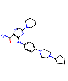 NC(=O)c1ncc(N2CCCCC2)nc1Nc1ccc(N2CCN(C3CCCC3)CC2)cc1